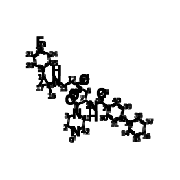 CN1CCN(C(=O)[C@@H](CS(=O)(=O)CCNC2(C)C[C@H]2c2ccc(F)cc2)NC(=O)c2ccc(-c3ccccc3)cc2)CC1